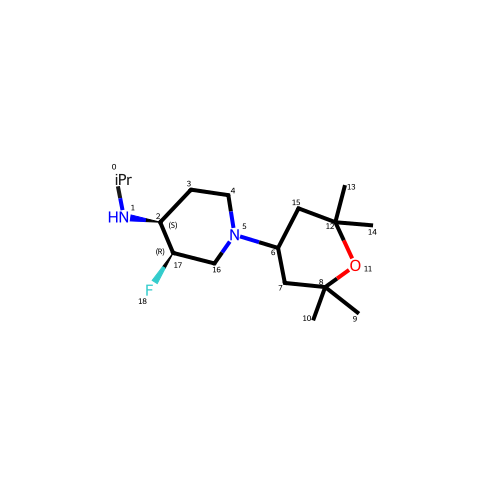 CC(C)N[C@H]1CCN(C2CC(C)(C)OC(C)(C)C2)C[C@H]1F